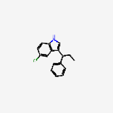 [CH2]CC(c1ccccc1)c1c[nH]c2ccc(Cl)cc12